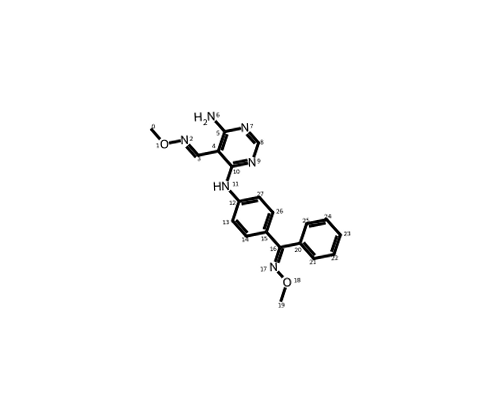 CO/N=C/c1c(N)ncnc1Nc1ccc(/C(=N/OC)c2ccccc2)cc1